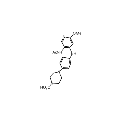 COc1cc(Nc2ccc(N3CCN(C(=O)O)CC3)cc2)c(NC(C)=O)cn1